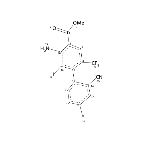 COC(=O)c1cc(C(F)(F)F)c(-c2ccc(F)cc2C#N)c(I)c1N